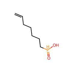 C=CCCCCC[PH](=O)O